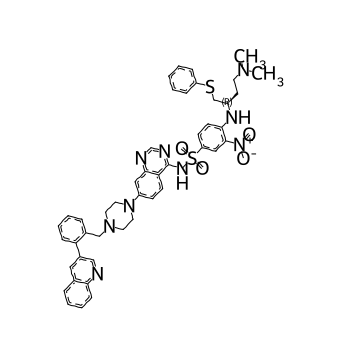 CN(C)CC[C@H](CSc1ccccc1)Nc1ccc(S(=O)(=O)Nc2ncnc3cc(N4CCN(Cc5ccccc5-c5cnc6ccccc6c5)CC4)ccc23)cc1[N+](=O)[O-]